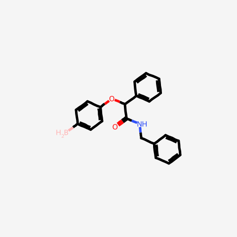 Bc1ccc(OC(C(=O)NCc2ccccc2)c2ccccc2)cc1